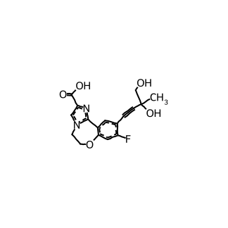 CC(O)(C#Cc1cc2c(cc1F)OCCn1cc(C(=O)O)nc1-2)CO